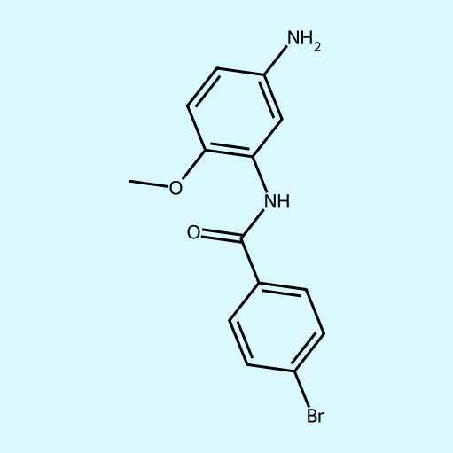 COc1ccc(N)cc1NC(=O)c1ccc(Br)cc1